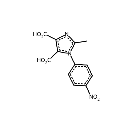 Cc1nc(C(=O)O)c(C(=O)O)n1-c1ccc([N+](=O)[O-])cc1